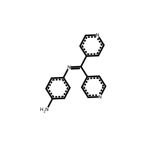 Nc1ccc(N=C(c2ccncc2)c2ccncc2)cc1